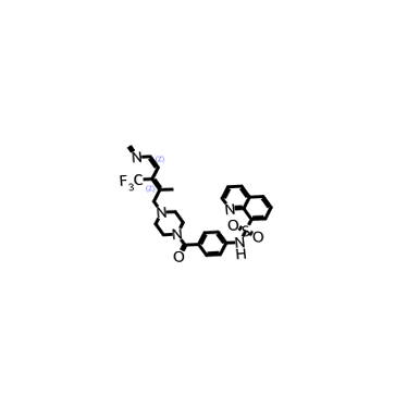 C=N/C=C\C(=C(/C)CN1CCN(C(=O)c2ccc(NS(=O)(=O)c3cccc4cccnc34)cc2)CC1)C(F)(F)F